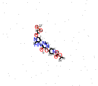 COc1c(Nc2ccc(OCCS(C)(=O)=O)nc2C)ncnc1OC1CCN(OC(=O)OC(C)C)CC1